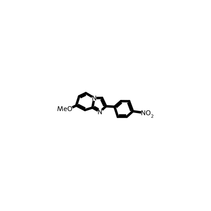 COc1ccn2cc(-c3ccc([N+](=O)[O-])cc3)nc2c1